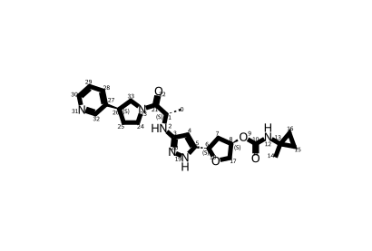 C[C@H](Nc1cc([C@@H]2C[C@H](OC(=O)NC3(C)CC3)CO2)[nH]n1)C(=O)N1CC[C@@H](c2cccnc2)C1